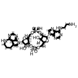 NCCNc1ncnc2c1ncn2[C@@H]1O[C@@H]2COP(=O)(S)O[C@H]3[C@@H](O)[C@H](n4cc5c6c(ncnc64)NCCC5)O[C@@H]3COP(=O)(S)O[C@@H]1[C@@H]2O